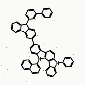 c1ccc(-c2cccc(C3c4ccccc4-c4cc(-c5ccc6c(c5)c5ccc7c(c8ccccc8n7-c7ccccc7)c5n6-c5cccc6ccccc56)ccc43)c2)cc1